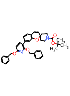 CC(C)(C)OC(=O)N1CCC2(C=Cc3ccc(-c4ccc(OCc5ccccc5)nc4OCc4ccccc4)cc3O2)CC1